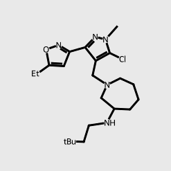 CCc1cc(-c2nn(C)c(Cl)c2CN2CCCCC(NCCC(C)(C)C)C2)no1